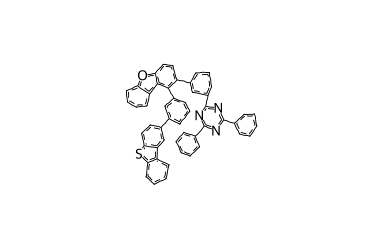 c1ccc(-c2nc(-c3ccccc3)nc(-c3cccc(-c4ccc5oc6ccccc6c5c4-c4cccc(-c5ccc6sc7ccccc7c6c5)c4)c3)n2)cc1